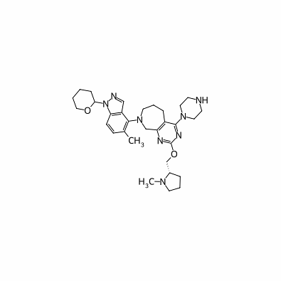 Cc1ccc2c(cnn2C2CCCCO2)c1N1CCCc2c(nc(OC[C@@H]3CCCN3C)nc2N2CCNCC2)C1